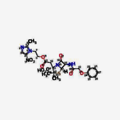 Cc1ncc([N+](=O)[O-])n1CCOC(=O)C[C@@]1(C(=O)O)N2C(=O)[C@@H](NC(=O)COc3ccccc3)[C@H]2SC1(C)C